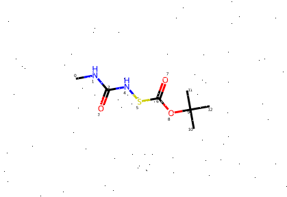 CNC(=O)NSC(=O)OC(C)(C)C